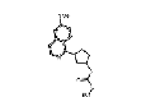 CNc1ccc2c(N3CC[C@@H](NC(=O)OC(C)(C)C)C3)nccc2c1